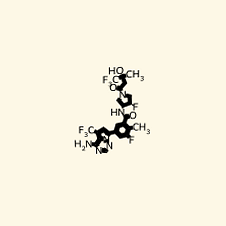 Cc1c(F)cc(-c2cc(C(F)(F)F)c3c(N)ncnn23)cc1C(=O)N[C@@H]1CN(C(=O)CC(C)(O)C(F)(F)F)C[C@@H]1F